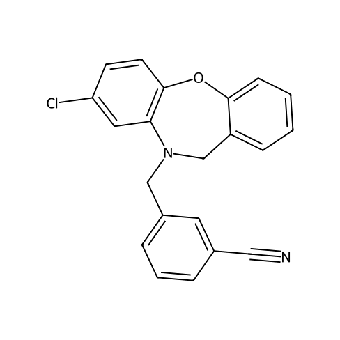 N#Cc1cccc(CN2Cc3ccccc3Oc3ccc(Cl)cc32)c1